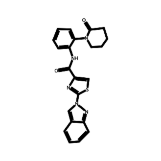 O=C(Nc1ccccc1N1CCCCC1=O)c1csc(-n2cc3ccccc3n2)n1